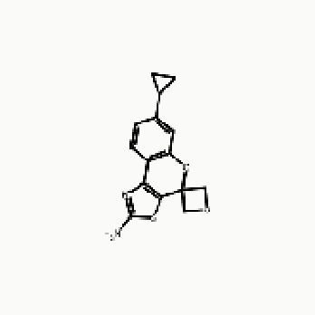 Nc1nc2c(s1)C1(COC1)Oc1cc(C3CC3)ccc1-2